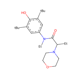 CCC(C(=O)N(CC)c1cc(C(C)(C)C)c(O)c(C(C)(C)C)c1)N1CCOCC1